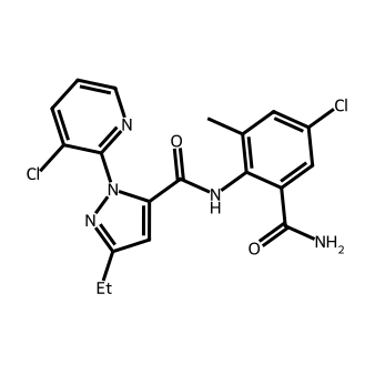 CCc1cc(C(=O)Nc2c(C)cc(Cl)cc2C(N)=O)n(-c2ncccc2Cl)n1